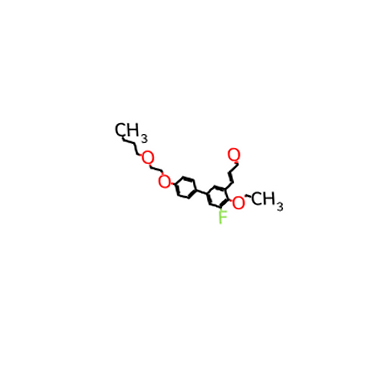 CCCCOCCOc1ccc(-c2cc(F)c(OCC)c(/C=C/C=O)c2)cc1